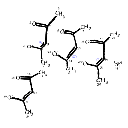 CC(=O)/C=C(/C)[O-].CC(=O)/C=C(/C)[O-].CC(=O)/C=C(/C)[O-].CC(=O)/C=C(/C)[O-].[Hf+4]